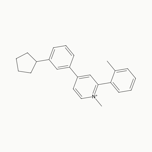 Cc1ccccc1-c1cc(-c2cccc(C3CCCC3)c2)cc[n+]1C